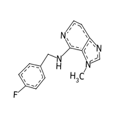 Cn1cnc2ccnc(NCc3ccc(F)cc3)c21